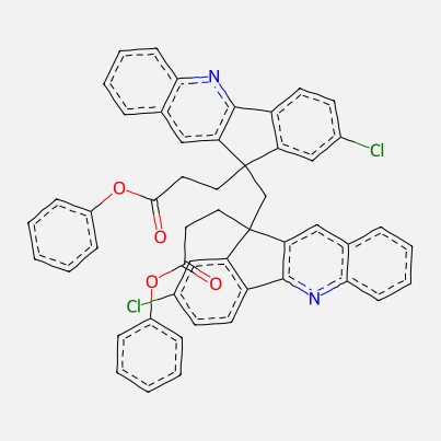 O=C(CCC1(CC2(CCC(=O)Oc3ccccc3)c3cc(Cl)ccc3-c3nc4ccccc4cc32)c2cc(Cl)ccc2-c2nc3ccccc3cc21)Oc1ccccc1